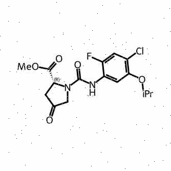 COC(=O)[C@H]1CC(=O)CN1C(=O)Nc1cc(OC(C)C)c(Cl)cc1F